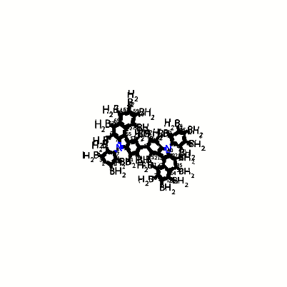 Bc1cc(B)c(B)c(-n2c3c(B)c(B)c(-c4c(B)c(B)c5c(c4B)c4c6c(B)c(B)c(B)c(B)c6c(B)c(B)c4n5-c4c(B)c(B)c(B)c(B)c4B)c(B)c3c3c4c(B)c(B)c(B)c(B)c4c(B)c(B)c32)c1B